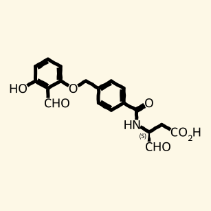 O=Cc1c(O)cccc1OCc1ccc(C(=O)N[C@H](C=O)CC(=O)O)cc1